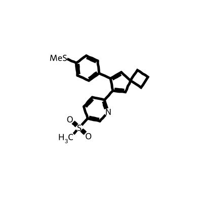 CSc1ccc(C2=CC3(C=C2c2ccc(S(C)(=O)=O)cn2)CCC3)cc1